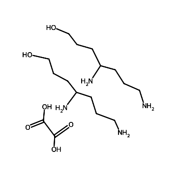 NCCCC(N)CCCO.NCCCC(N)CCCO.O=C(O)C(=O)O